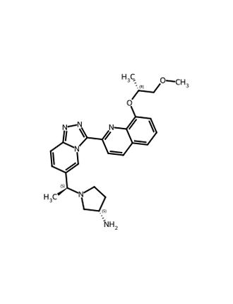 COC[C@@H](C)Oc1cccc2ccc(-c3nnc4ccc([C@H](C)N5CC[C@H](N)C5)cn34)nc12